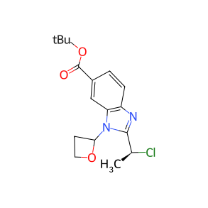 C[C@H](Cl)c1nc2ccc(C(=O)OC(C)(C)C)cc2n1C1CCO1